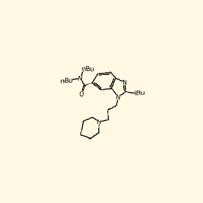 CCCCN(CCCC)C(=O)c1ccc2nc(C(C)CC)n(CCCN3CCCCC3)c2c1